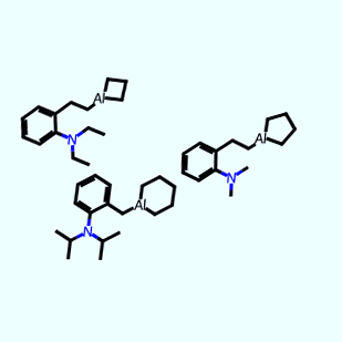 CC(C)N(c1ccccc1[CH2][Al]1[CH2]CCC[CH2]1)C(C)C.CCN(CC)c1ccccc1C[CH2][Al]1[CH2]C[CH2]1.CN(C)c1ccccc1C[CH2][Al]1[CH2]CC[CH2]1